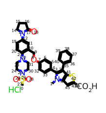 Cl.Cn1c(-c2ccc(OCc3cc(N4CCCC4=O)ccc3N3CCN(S(C)(=O)=O)CC3)cc2)c(-c2ccccc2)c2sc(C(=O)O)cc21